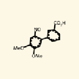 COc1cc(N=O)c(-c2cccc(C(=O)O)c2)cc1OC